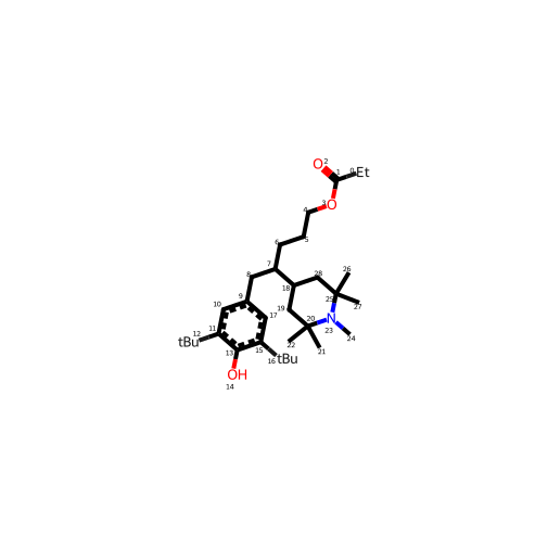 CCC(=O)OCCCC(Cc1cc(C(C)(C)C)c(O)c(C(C)(C)C)c1)C1CC(C)(C)N(C)C(C)(C)C1